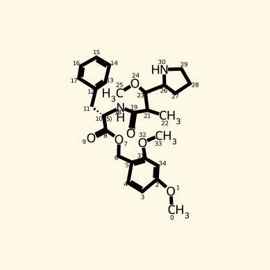 COc1ccc(COC(=O)[C@H](Cc2ccccc2)NC(=O)C(C)C(OC)C2CCCN2)c(OC)c1